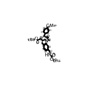 CCC[C@H](C(=O)OC(C)(C)C)[C@H](Cc1ccc(CNC(=O)OC(C)(C)C)cc1)c1nnnn1Cc1ccc(OC)cc1